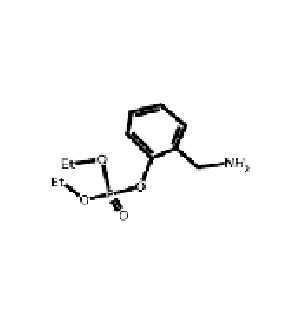 CCOP(=O)(OCC)Oc1ccccc1CN